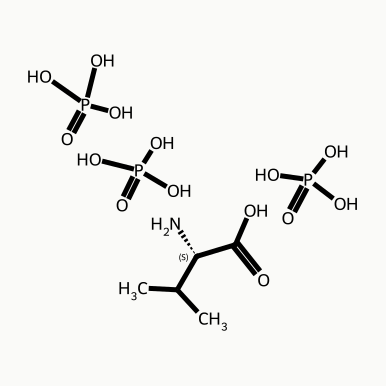 CC(C)[C@H](N)C(=O)O.O=P(O)(O)O.O=P(O)(O)O.O=P(O)(O)O